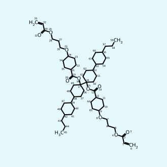 C=CC(=O)OCCCOC1CCC(C(=O)OC2(C3(OC(=O)C4CCC(OCCCOC(=O)C=C)CC4)CCC(C4CCC(CCC)CC4)CC3)CCC(C3CCC(CCC)CC3)CC2)CC1